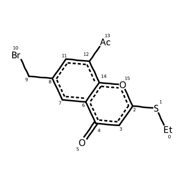 CCSc1cc(=O)c2cc(CBr)cc(C(C)=O)c2o1